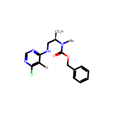 CCc1c(Cl)ncnc1NC[C@@H](C(=O)O)N(C(=O)OCc1ccccc1)C(C)(C)C